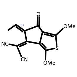 C/C=C1/C(=O)c2c(OC)sc(OC)c2C1=C(C#N)C#N